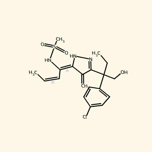 C=c1c(C(CC)(CO)c2ccc(Cl)cc2)n[nH]/c1=C(/C=C\C)NS(C)(=O)=O